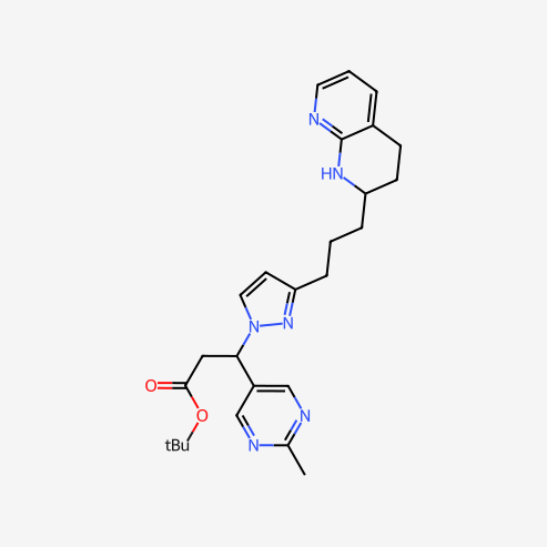 Cc1ncc(C(CC(=O)OC(C)(C)C)n2ccc(CCCC3CCc4cccnc4N3)n2)cn1